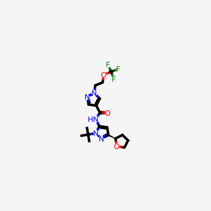 CC(C)(C)n1nc([C@H]2C[CH]CO2)cc1NC(=O)c1cnn(CCOC(F)(F)F)c1